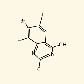 Oc1nc(Cl)nc2c(F)c(Br)c(I)cc12